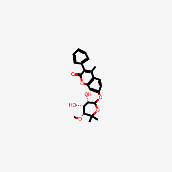 CO[C@@H]1[C@H](O)[C@H](O)C(Oc2ccc3c(C)c(-c4ccccc4)c(=O)oc3c2)OC1(C)C